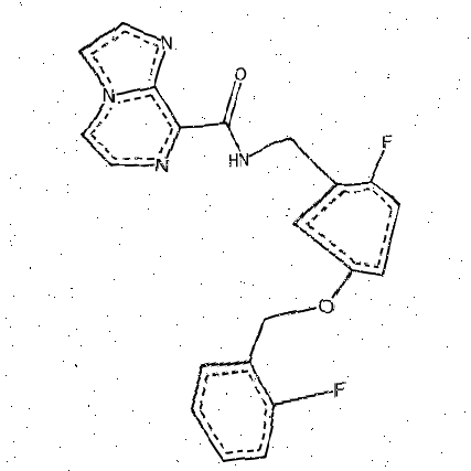 O=C(NCc1cc(OCc2ccccc2F)ccc1F)c1nccn2ccnc12